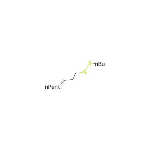 CCCCCCCCSSCCCC